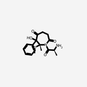 CO[C@@]1(C)N(C(=O)[C@H](C)N)C(=O)CCC(=O)C1(O)c1ccccc1